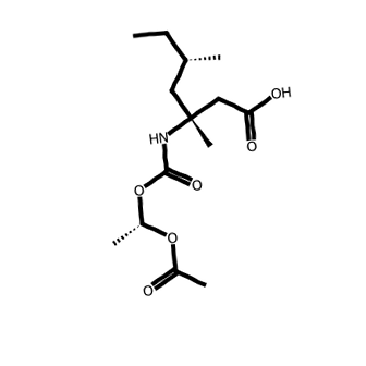 CC[C@H](C)C[C@](C)(CC(=O)O)NC(=O)O[C@@H](C)OC(C)=O